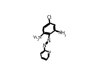 Nc1cc(Cl)cc(N)c1N=Nc1ccccn1